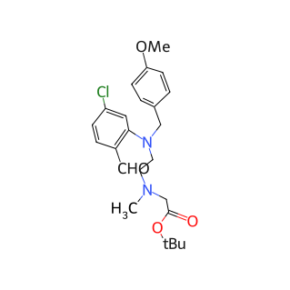 COc1ccc(CN(CCN(C)CC(=O)OC(C)(C)C)c2cc(Cl)ccc2C=O)cc1